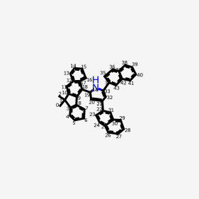 CC1(C)c2ccccc2-c2c1cc1ccccc1c2C1C=C(c2ccc3ccccc3c2)C=C(c2ccc3ccccc3c2)N1